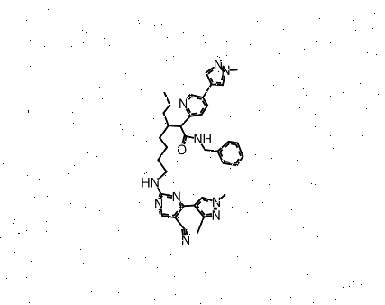 CCCC(CCCCNc1ncc(C#N)c(-c2cn(C)nc2C)n1)C(C(=O)NCc1ccccc1)c1ccc(-c2cnn(C)c2)cn1